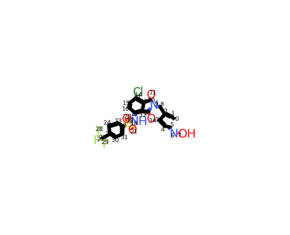 C\C=C(/C=C\C=N\O)CN1C(=O)c2c(Cl)ccc(NS(=O)(=O)c3ccc(C(F)(F)F)cc3)c2C1=O